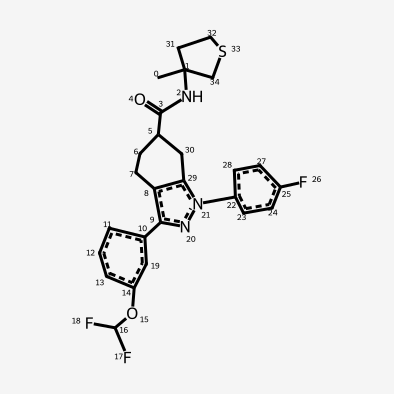 CC1(NC(=O)C2CCc3c(-c4cccc(OC(F)F)c4)nn(-c4ccc(F)cc4)c3C2)CCSC1